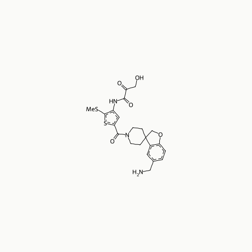 CSc1sc(C(=O)N2CCC3(CC2)COc2ccc(CN)cc23)cc1NC(=O)C(=O)CO